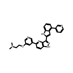 CN(C)CCOc1cncc(-c2ccc3[nH]nc(-c4cc5c(-c6cccnc6)cccc5[nH]4)c3n2)c1